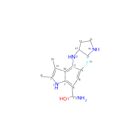 Cc1[nH]c2c(C(N)O)cc(F)c(NC3CCNC3)c2c1C